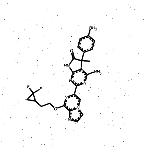 CC1(c2ccc(N)cc2)C(=O)Nc2nc(-c3cn4ccnc4c(OCCC4CC4(F)F)n3)nc(N)c21